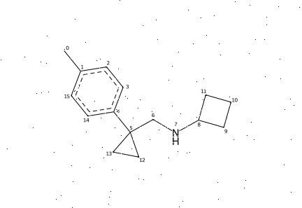 Cc1ccc(C2(CNC3CCC3)CC2)cc1